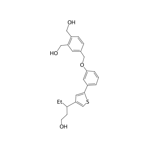 CCC(CCO)c1csc(-c2cccc(OCc3ccc(CO)c(CO)c3)c2)c1